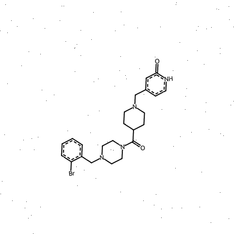 O=C(C1CCN(Cc2cc[nH]c(=O)c2)CC1)N1CCN(Cc2ccccc2Br)CC1